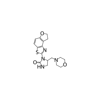 O=C1NCC(CN2CCOCC2)N1c1nc2c3c(ccc2s1)OCC3